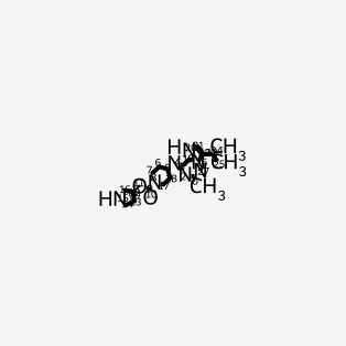 Cc1nc(NC2CCN(C(=O)O[C@H]3CCNC3)CC2)c2ncc(C(C)C)n2n1